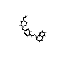 O=CN1CCN(Cc2ccc(CSc3ccnc4ccccc34)cc2)CC1